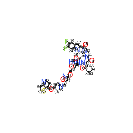 CN[C@@H](C)C(=O)N[C@H](C(=O)N1CCN(C(=O)c2cc3cc(F)c(F)cc3n2CCOCCOCCOc2cc(CN3CCC(Oc4ccnc5ccsc45)CC3)on2)CC1)C1CCCCC1